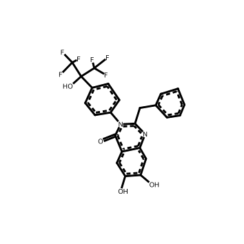 O=c1c2cc(O)c(O)cc2nc(Cc2ccccc2)n1-c1ccc(C(O)(C(F)(F)F)C(F)(F)F)cc1